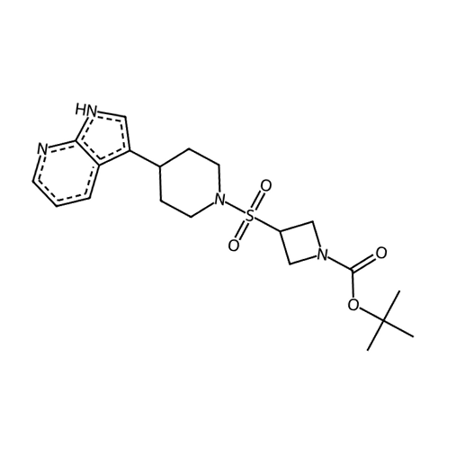 CC(C)(C)OC(=O)N1CC(S(=O)(=O)N2CCC(c3c[nH]c4ncccc34)CC2)C1